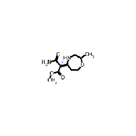 COC(=O)/C(C(N)=O)=C1\CCOC(C)CN1